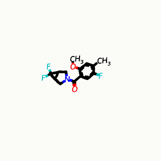 COc1cc(C)c(F)cc1C(=O)N1CC2C(C1)C2(F)F